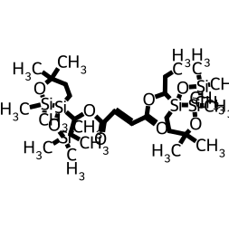 CCC(OC(=O)C=CC(=O)OC(CC)[Si]1(O[Si](C)(C)C)CCC(C)(C)O[Si]1(C)C)[Si]1(O[Si](C)(C)C)CCC(C)(C)O[Si]1(C)C